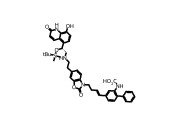 CC(C)(C)[Si](C)(C)O[C@@H](CNCCc1ccc2c(c1)oc(=O)n2CC/C=C/c1ccc(-c2ccccc2)c(NC(=O)O)c1)c1ccc(O)c2[nH]c(=O)ccc12